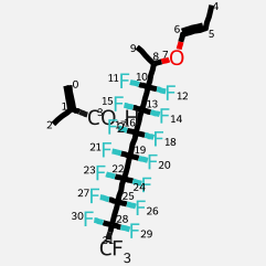 C=C(C)C(=O)O.CC=COC(C)C(F)(F)C(F)(F)C(F)(F)C(F)(F)C(F)(F)C(F)(F)C(F)(F)C(F)(F)F